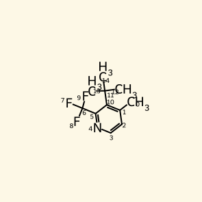 Cc1ccnc(C(F)(F)F)c1C(C)(C)C